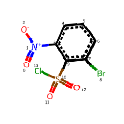 O=[N+]([O-])c1cccc(Br)c1S(=O)(=O)Cl